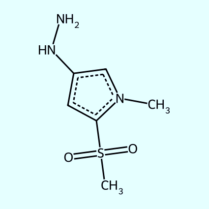 Cn1cc(NN)cc1S(C)(=O)=O